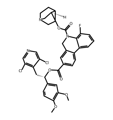 COc1ccc([C@H](Cc2c(Cl)cncc2Cl)OC(=O)c2ccc3c(c2)CN(C(=O)O[C@H]2CN4CCC2CC4)c2c(F)cccc2-3)cc1OC